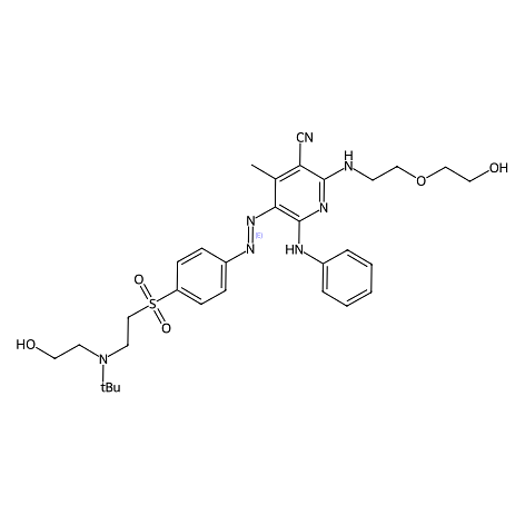 Cc1c(C#N)c(NCCOCCO)nc(Nc2ccccc2)c1/N=N/c1ccc(S(=O)(=O)CCN(CCO)C(C)(C)C)cc1